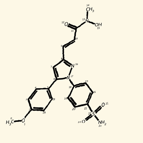 COc1ccc(-c2cc(C=CC(=O)N(C)O)nn2-c2ccc(S(N)(=O)=O)cc2)cc1